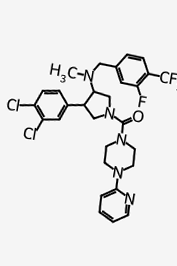 CN(Cc1ccc(C(F)(F)F)c(F)c1)C1CN(C(=O)N2CCN(c3ccccn3)CC2)CC1c1ccc(Cl)c(Cl)c1